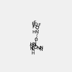 CNc1n[nH]c2cc(-n3cnnc3)cc(NCCOCCCCNCc3cc(F)c(OC(F)(F)F)c(F)c3)c12